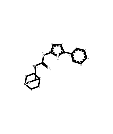 O=C(NC1CN2CCC1CC2)Oc1ccc(-c2ccccc2)o1